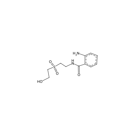 Nc1ccccc1C(=O)NCCS(=O)(=O)CCO